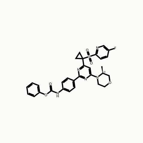 C[C@H]1COCCN1c1cc(C2(S(=O)(=O)c3ccc(F)cn3)CC2)nc(-c2ccc(NC(=O)Oc3ccccc3)cc2)n1